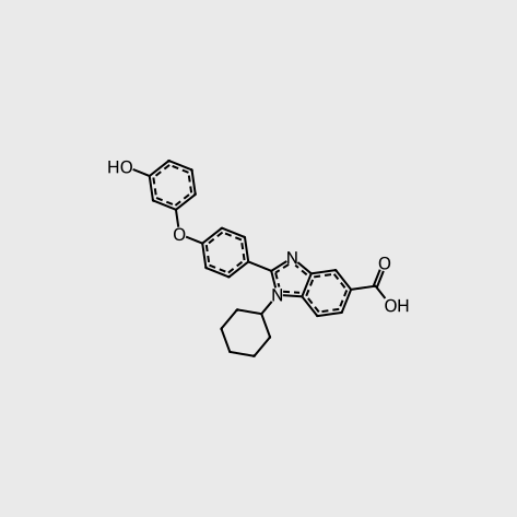 O=C(O)c1ccc2c(c1)nc(-c1ccc(Oc3cccc(O)c3)cc1)n2C1CCCCC1